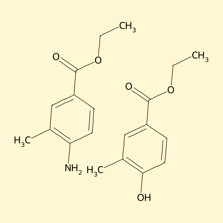 CCOC(=O)c1ccc(N)c(C)c1.CCOC(=O)c1ccc(O)c(C)c1